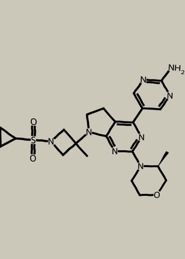 C[C@H]1COCCN1c1nc(-c2cnc(N)nc2)c2c(n1)N(C1(C)CN(S(=O)(=O)C3CC3)C1)CC2